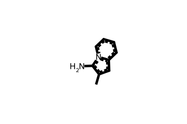 Cc1cc2ccccn2c1N